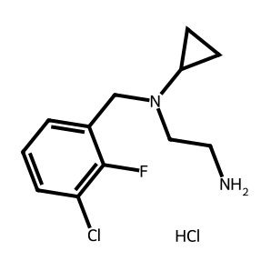 Cl.NCCN(Cc1cccc(Cl)c1F)C1CC1